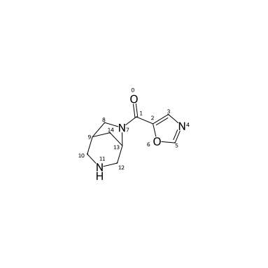 O=C(c1cnco1)N1CC2CNCC1C2